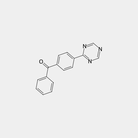 O=C(c1ccccc1)c1ccc(-c2ncncn2)cc1